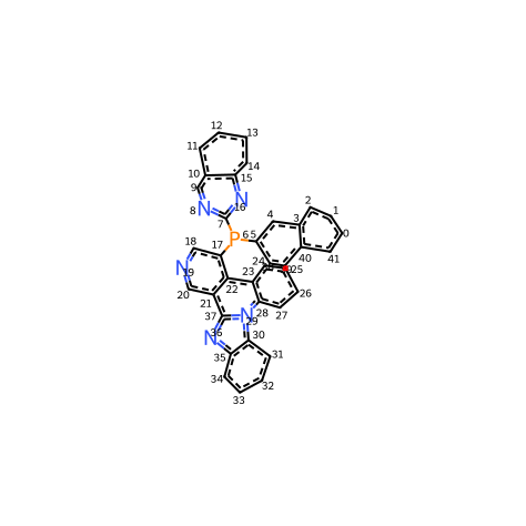 c1ccc2cc(P(c3ncc4ccccc4n3)c3cncc4c3c3ccccc3n3c5ccccc5nc43)ccc2c1